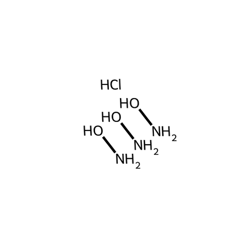 Cl.NO.NO.NO